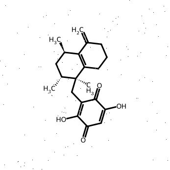 C=C1CCCC2=C1[C@H](C)C[C@@H](C)[C@]2(C)CC1=C(O)C(=O)C=C(O)C1=O